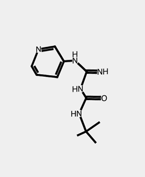 CC(C)(C)NC(=O)NC(=N)Nc1cccnc1